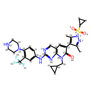 Cc1nn(S(=O)(=O)C2CC2)c(C)c1-c1cc2cnc(Nc3ccc(N4CCNCC4)c(C(F)(F)F)c3)nc2n(CC2CC2)c1=O